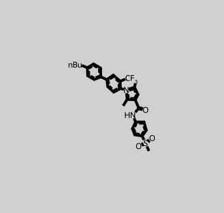 CCCCc1ccc(-c2ccc(-n3c(C)cc(C(=O)Nc4ccc(S(C)(=O)=O)cc4)c3C)c(C(F)(F)F)c2)cc1